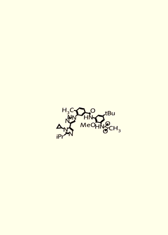 COc1c(NC(=O)c2ccc(C)c(-n3cc(-c4cnc(C(C)C)n4C4CC4)nn3)c2)cc(C(C)(C)C)cc1NS(C)(=O)=O